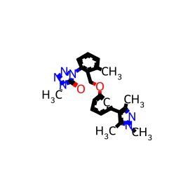 Cc1cccc(-n2nnn(C)c2=O)c1COc1cccc(-c2c(C)nn(C)c2C)c1